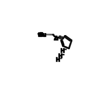 C1=CCC=C1.CC(C)(C)[CH2][Zr+3].[H-].[H-].[H-]